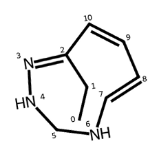 CCC1=N\NCN/C=C/C=C\1